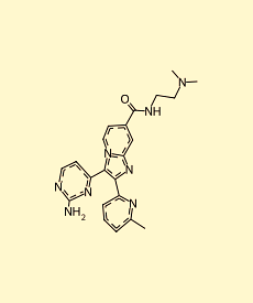 Cc1cccc(-c2nc3cc(C(=O)NCCN(C)C)ccn3c2-c2ccnc(N)n2)n1